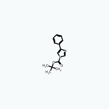 CC(C)(C)OC(=O)n1cnc(-c2ccccc2)c1